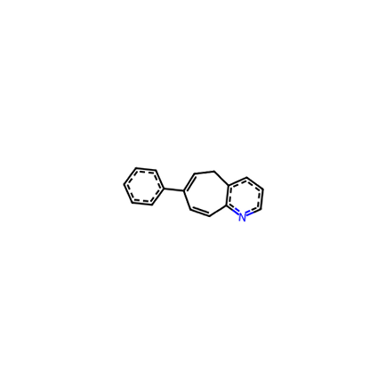 C1=Cc2ncccc2CC=C1c1ccccc1